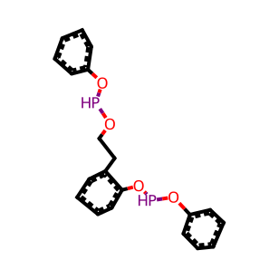 c1ccc(OPOCCc2ccccc2OPOc2ccccc2)cc1